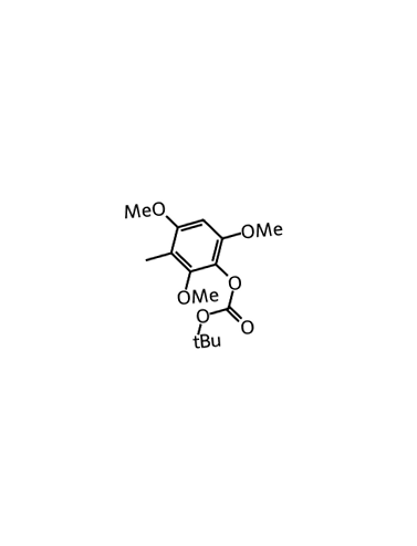 COc1cc(OC)c(OC(=O)OC(C)(C)C)c(OC)c1C